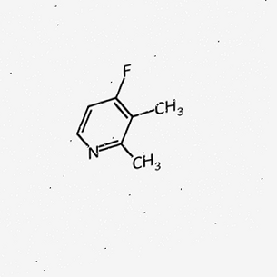 Cc1nccc(F)c1C